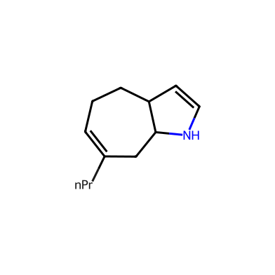 CCCC1=CCCC2C=CNC2C1